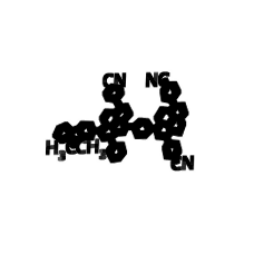 CC1(C)c2ccccc2-c2ccc(-c3cc(-c4ccccc4)c4cc(-c5ccc(-c6cc(-c7ccc(C#N)cc7)c7ccc8ccc(-c9ccc(C#N)cc9)c9ccc6c7c89)cc5)c5ccc(-c6ccc(C#N)cc6)c6ccc3c4c65)cc21